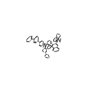 c1ccc(-c2ccc(-c3ccc(N(c4ccc(-c5ccccc5)cc4)c4cccc5c4oc4c6ccccc6cc(-c6nc7ccccc7o6)c54)cc3)cc2)cc1